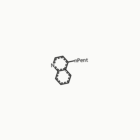 CCCCCc1ccnc2ccccc12